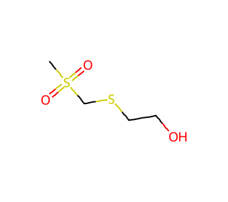 CS(=O)(=O)CSCCO